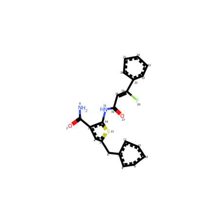 NC(=O)c1cc(Cc2ccccc2)sc1NC(=O)C=C(F)c1ccccc1